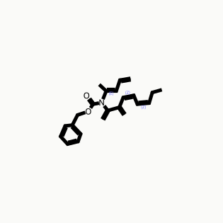 C=C/C=C(\C)N(C(=C)C(=C)/C=C\C=C/CC)C(=O)OCc1ccccc1